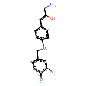 NCC(O)=Cc1ccc(OCc2ccc(Cl)c(Cl)c2)cc1